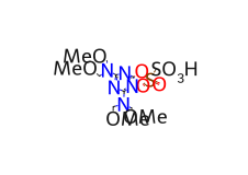 COCN(COC)c1nc(OS(=O)(=O)S(=O)(=O)O)nc(N(COC)COC)n1